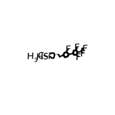 CCC[Si@H]1CC[C@H](CCc2ccc(-c3cc(F)c(C(F)=CF)c(F)c3)c(F)c2)CC1